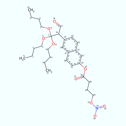 CCCCOC(OCCCC)(OCCCC)C(C=O)c1ccc2cc(OC(=O)CCCO[N+](=O)[O-])ccc2c1